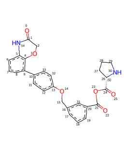 O=C1COc2c(cccc2-c2ccc(OCc3cccc(C(=O)OC(=O)[C@@H]4CCCN4)c3)cc2)N1